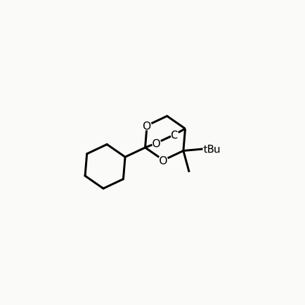 CC(C)(C)C1(C)OC2(C3CCCCC3)OCC1CO2